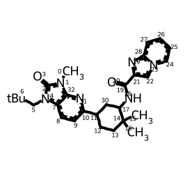 Cn1c(=O)n(CC(C)(C)C)c2ccc(C3CCC(C)(C)C(NC(=O)c4cn5ccccc5n4)C3)nc21